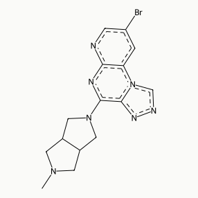 CN1CC2CN(c3nc4ncc(Br)cc4n4cnnc34)CC2C1